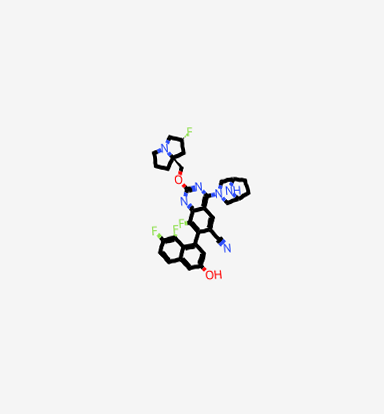 N#Cc1cc2c(N3CC4CCC(C3)N4)nc(OC[C@@]34CCCN3C[C@H](F)C4)nc2c(F)c1-c1cc(O)cc2ccc(F)c(F)c12